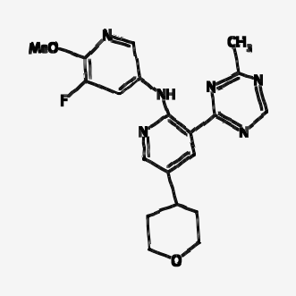 COc1ncc(Nc2ncc(C3CCOCC3)cc2-c2ncnc(C)n2)cc1F